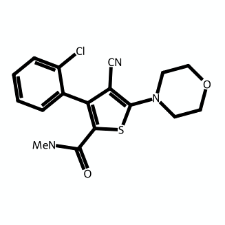 CNC(=O)c1sc(N2CCOCC2)c(C#N)c1-c1ccccc1Cl